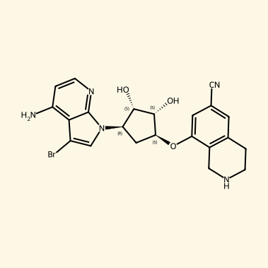 N#Cc1cc2c(c(O[C@H]3C[C@@H](n4cc(Br)c5c(N)ccnc54)[C@H](O)[C@@H]3O)c1)CNCC2